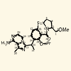 COCC1CCCN1C(=O)c1c(F)ccc(C(C)c2nc(C)c3c(N)nccn23)c1OC(C)C